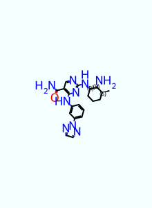 C[C@H]1CCC[C@@H](Nc2ncc(C(N)=O)c(Nc3cccc(-n4nccn4)c3)n2)[C@H]1N